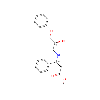 COC(=O)C[C@H](NC[C@H](O)COc1ccccc1)c1ccccc1